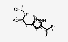 CC(=O)C(Cc1cc(C(C)Br)[nH]n1)OC=O